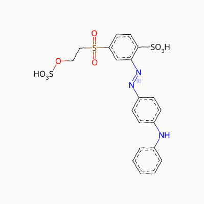 O=S(=O)(O)OCCS(=O)(=O)c1ccc(S(=O)(=O)O)c(/N=N/c2ccc(Nc3ccccc3)cc2)c1